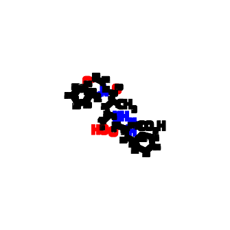 CC(C[C@@H](CO)NC(=O)[C@H](CC1CCCCC1)NC(=O)O)C(=O)N1CCOc2ccccc2C1